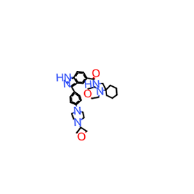 O=C(NCC1(N2CCOCC2)CCCCC1)c1ccc2[nH]nc(-c3ccc(N4CCN(C5COC5)CC4)cc3)c2c1